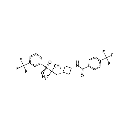 CC(C)(C[C@H]1C[C@@H](NC(=O)c2ccc(C(F)(F)F)cc2)C1)S(=O)(=O)c1cccc(C(F)(F)F)c1